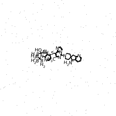 BC(B)(B)N(c1nccc(Sc2c(C)nc(N3CCC4(CC3)Cc3ncccc3[C@H]4N)n3ccnc23)c1Cl)C(B)(B)O